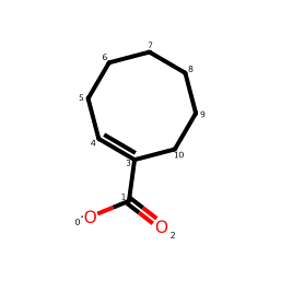 [O]C(=O)C1=CCCCCCC1